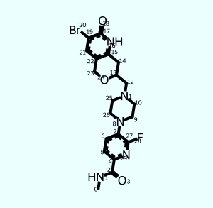 CNC(=O)c1ccc(N2CCN(CC3Cc4[nH]c(=O)c(Br)cc4CO3)CC2)c(F)n1